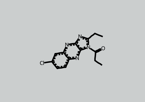 CCC(=O)n1c(CC)nc2nc3cc(Cl)ccc3nc21